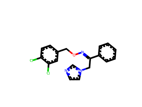 Clc1ccc(CON=C(Cn2ccnc2)c2ccccc2)cc1Cl